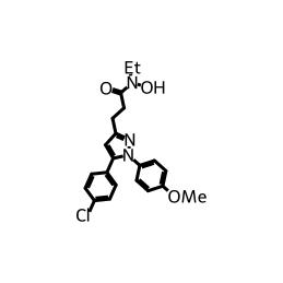 CCN(O)C(=O)CCc1cc(-c2ccc(Cl)cc2)n(-c2ccc(OC)cc2)n1